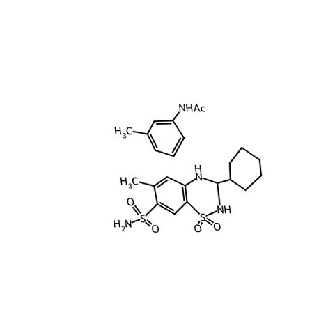 CC(=O)Nc1cccc(C)c1.Cc1cc2c(cc1S(N)(=O)=O)S(=O)(=O)NC(C1CCCCC1)N2